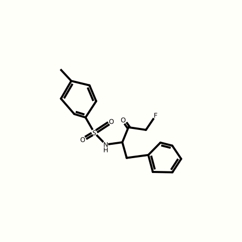 Cc1ccc(S(=O)(=O)NC(Cc2ccccc2)C(=O)CF)cc1